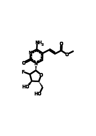 COC(=O)/C=C/c1cn([C@@H]2O[C@H](CO)[C@@H](O)C2F)c(=O)nc1N